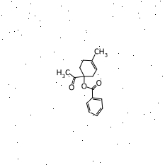 CC(=O)C1(OC(=O)c2ccccc2)CC=C(C)CC1